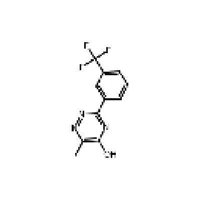 Cc1nnc(-c2cccc(C(F)(F)F)c2)nc1O